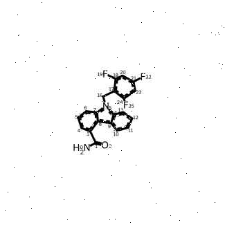 NC(=O)c1cccc2c1c1[c]cccc1n2Cc1c(F)cc(F)cc1F